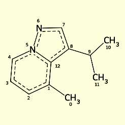 Cc1cccn2ncc(C(C)C)c12